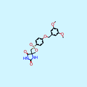 COc1cc(COc2ccc(S(=O)(=O)CC3(C)NC(=O)NC3=O)cc2)cc(OC)c1